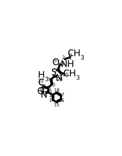 CCCNC(=O)c1sc(C=Cc2c(-c3ccccc3)noc2C)nc1C